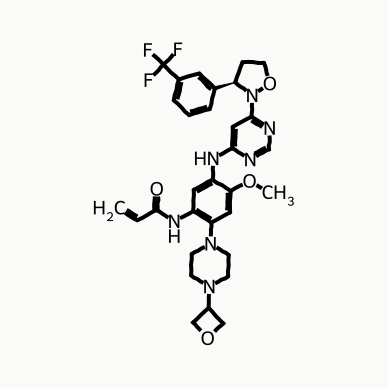 C=CC(=O)Nc1cc(Nc2cc(N3OCC[C@@H]3c3cccc(C(F)(F)F)c3)ncn2)c(OC)cc1N1CCN(C2COC2)CC1